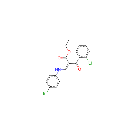 CCOC(=O)C(=CNc1ccc(Br)cc1)C(=O)c1ccccc1Cl